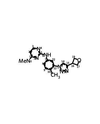 CNc1ccnc(Nc2ccc(C)c(-n3cc(C4COC4)nn3)c2)n1